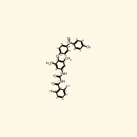 Cc1cc(NC(=O)NC(=O)c2c(F)cccc2F)cc(C)c1Oc1ccc([S+]([O-])c2ccc(Cl)cc2)cc1